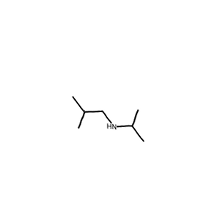 C[C](C)CNC(C)C